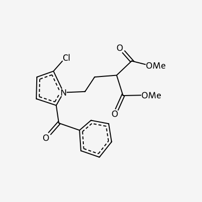 COC(=O)C(CCn1c(Cl)ccc1C(=O)c1ccccc1)C(=O)OC